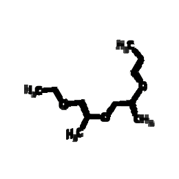 CCCOC(C)COC(C)COCC